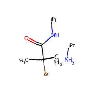 CC(C)N.CC(C)NC(=O)C(C)(C)Br